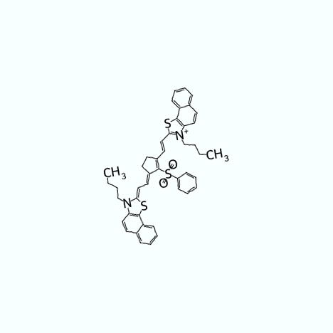 CCCCN1/C(=C/C=C2\CCC(/C=C/c3sc4c5ccccc5ccc4[n+]3CCCC)=C2S(=O)(=O)c2ccccc2)Sc2c1ccc1ccccc21